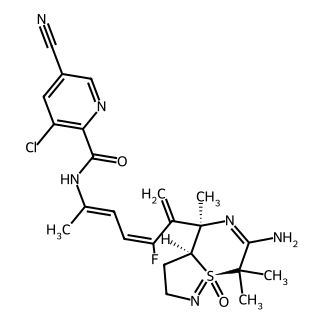 C=C(/C(F)=C\C=C(/C)NC(=O)c1ncc(C#N)cc1Cl)[C@@]1(C)N=C(N)C(C)(C)[S@@]2(=O)=NCC[C@@H]12